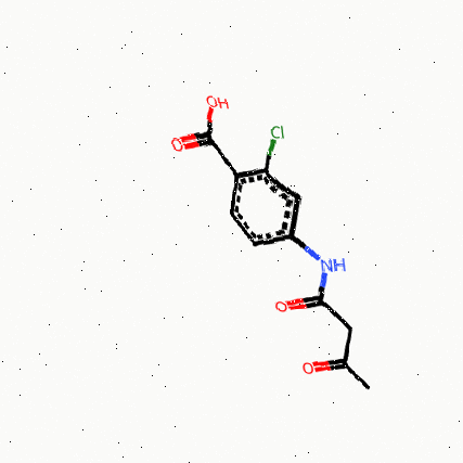 CC(=O)CC(=O)Nc1ccc(C(=O)O)c(Cl)c1